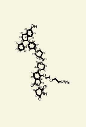 COCCOCCOc1c(N2CCN(CC3CCN(c4ccc([C@H]5c6ccc(O)cc6CC[C@H]5c5ccccc5)cc4)CC3)CC2)ccc2c1CN(C1CCC(=O)NC1=O)C2=O